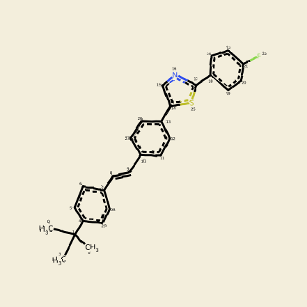 CC(C)(C)c1ccc(/C=C/c2ccc(-c3cnc(-c4ccc(F)cc4)s3)cc2)cc1